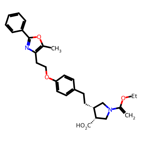 C=C(OCC)N1C[C@@H](CCc2ccc(OCCc3nc(-c4ccccc4)oc3C)cc2)[C@@H](C(=O)O)C1